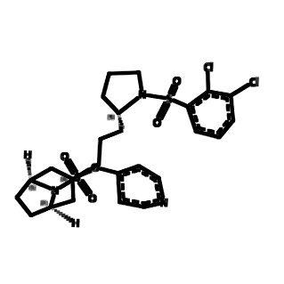 O=S(=O)(CCC[C@@H]1CCCN1S(=O)(=O)c1cccc(Cl)c1Cl)N1[C@@H]2CC[C@H]1C[C@@H](Oc1ccncc1)C2